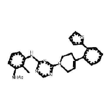 CC(=O)Nc1cccc(Nc2ncnc(N3CC=C(c4ccccc4-c4cccs4)CC3)n2)c1C